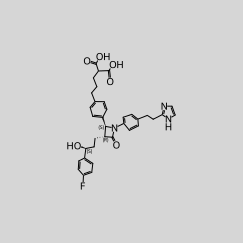 O=C(O)C(CCCc1ccc([C@@H]2[C@@H](CC[C@H](O)c3ccc(F)cc3)C(=O)N2c2ccc(CCc3ncc[nH]3)cc2)cc1)C(=O)O